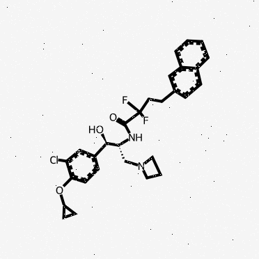 O=C(N[C@H](CN1CCC1)[C@H](O)c1ccc(OC2CC2)c(Cl)c1)C(F)(F)CCc1ccc2ccccc2c1